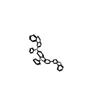 c1ccc(N(c2ccc3ccc4ccccc4c3c2)c2ccc3c4cc(-c5ccc6sc7ccccc7c6c5)ccc4n(-c4ccccc4)c3c2)cc1